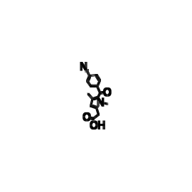 Cc1cc(CC(=O)O)n(C)c1C(=O)c1ccc(C#N)cc1